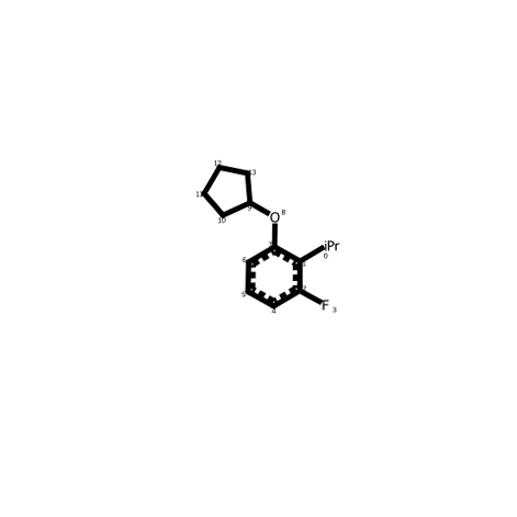 CC(C)c1c(F)cccc1OC1CCCC1